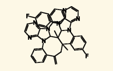 C=C1CC2(C)c3cc(F)ccc3N3c4nccnc4N(c4ccc(F)cc4)C3C2(C)C2N(c3ccccc3)c3nccnc3N2c2ccccc21